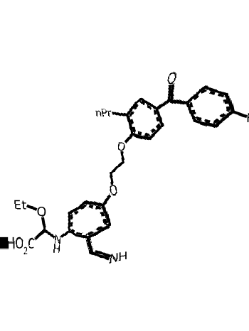 CCCc1cc(C(=O)c2ccc(F)cc2)ccc1OCCOc1ccc(NC(OCC)C(=O)O)c(C=N)c1